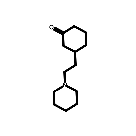 O=C1CCCC(CCN2CCCCC2)C1